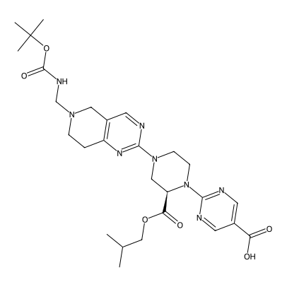 CC(C)COC(=O)[C@H]1CN(c2ncc3c(n2)CCN(CNC(=O)OC(C)(C)C)C3)CCN1c1ncc(C(=O)O)cn1